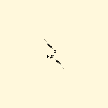 CC#CO[SiH2]C#CC